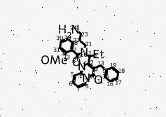 CCC(c1nc2ccccn2c(=O)c1Cc1ccccc1)N(CCCN)C(=O)c1ccccc1OC